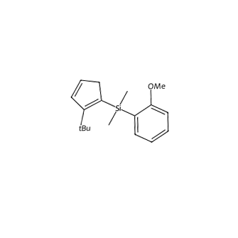 COc1ccccc1[Si](C)(C)C1=C(C(C)(C)C)C=CC1